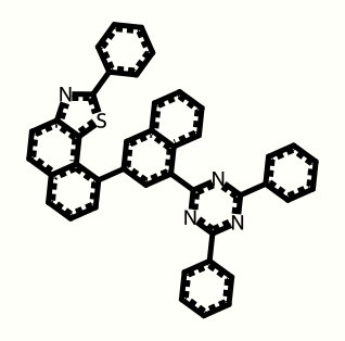 c1ccc(-c2nc(-c3ccccc3)nc(-c3cc(-c4cccc5ccc6nc(-c7ccccc7)sc6c45)cc4ccccc34)n2)cc1